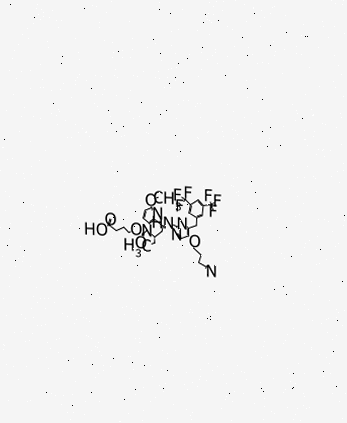 CC[C@@H]1C[C@H](Nc2ncc(OCCCC#N)c(Cc3cc(C(F)(F)F)cc(C(F)(F)F)c3)n2)c2nc(OC)ccc2N1C(=O)OCCCC(=O)O